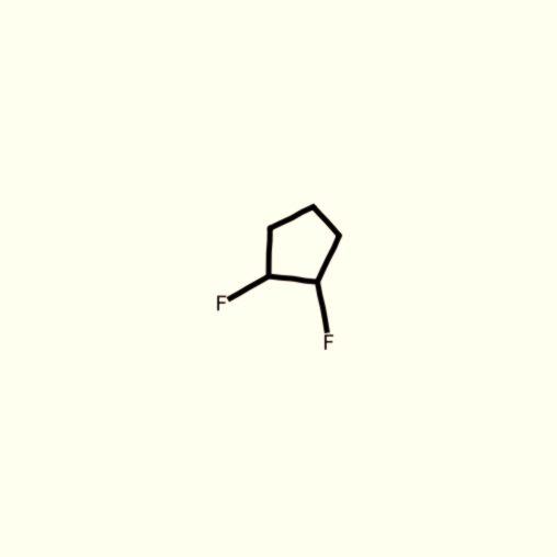 FC1CCCC1F